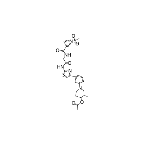 CC(=O)OC1CCN(c2cccc(-c3csc(NC(=O)CNC(=O)c4ccn(S(C)(=O)=O)c4)n3)c2)CC1C